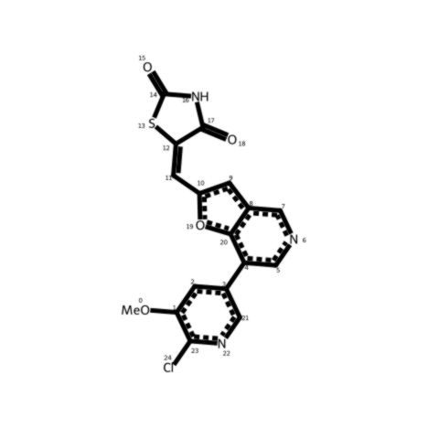 COc1cc(-c2cncc3cc(C=C4SC(=O)NC4=O)oc23)cnc1Cl